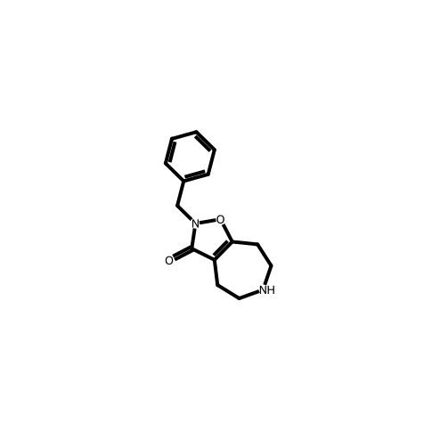 O=c1c2c(on1Cc1ccccc1)CCNCC2